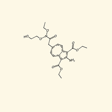 CCOC(=O)c1c2ccc(CC(=O)N(OCC)OCCO)ccc-2c(C(=O)OCC)c1N